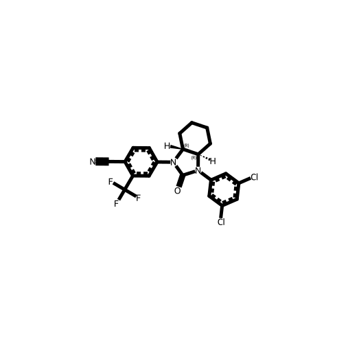 N#Cc1ccc(N2C(=O)N(c3cc(Cl)cc(Cl)c3)[C@@H]3CCCC[C@H]32)cc1C(F)(F)F